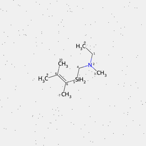 CCN(C)C[SiH2]C(C)=C(C)C